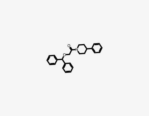 O=C(COC(c1ccccc1)c1ccccc1)N1CCC(c2ccccc2)CC1